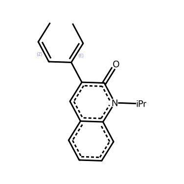 C/C=C\C(=C/C)c1cc2ccccc2n(C(C)C)c1=O